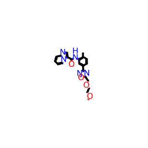 COCCOCc1nc(-c2ccc(C)c(NC(=O)c3cnc4ccccn34)c2)no1